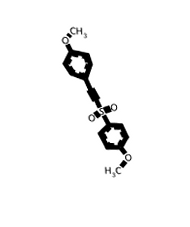 COc1ccc(C#CS(=O)(=O)c2ccc(OC)cc2)cc1